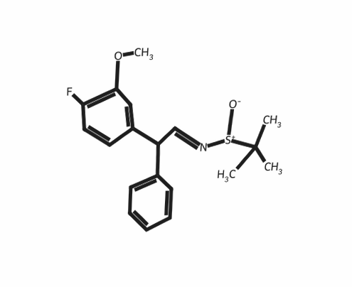 COc1cc(C(/C=N/[S+]([O-])C(C)(C)C)c2ccccc2)ccc1F